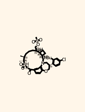 CCCCc1cc(Cl)ccc1[C@@H]1COc2ccc3cc2N(C1)C[C@@H]1CC[C@H]1[C@](O)(COS(C)(=O)=O)CCC[C@H](C)[C@@H](C)S(=O)(=O)NC3=O